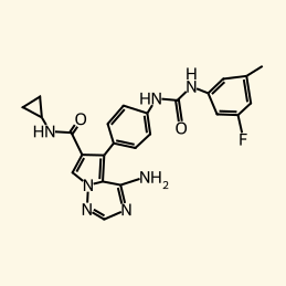 Cc1cc(F)cc(NC(=O)Nc2ccc(-c3c(C(=O)NC4CC4)cn4ncnc(N)c34)cc2)c1